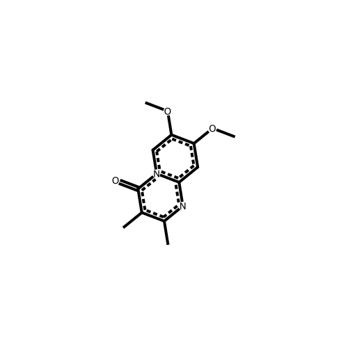 COc1cc2nc(C)c(C)c(=O)n2cc1OC